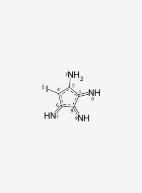 N=c1c(N)c(I)c(=N)c1=N